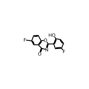 O=c1nc(-c2cc(F)ccc2O)oc2ccc(F)cc12